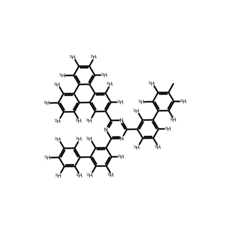 [2H]c1c([2H])c([2H])c(-c2c([2H])c([2H])c([2H])c(-c3nc(-c4c([2H])c([2H])c([2H])c(-c5c([2H])c([2H])c(C)c([2H])c5[2H])c4[2H])nc(-c4c([2H])c([2H])c5c6c([2H])c([2H])c([2H])c([2H])c6c6c([2H])c([2H])c([2H])c([2H])c6c5c4[2H])n3)c2[2H])c([2H])c1[2H]